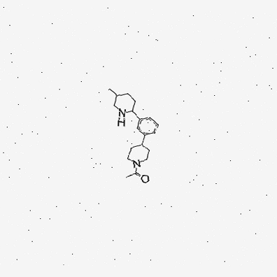 CC(=O)N1CCC(c2cccc(C3CCC(C)CN3)c2)CC1